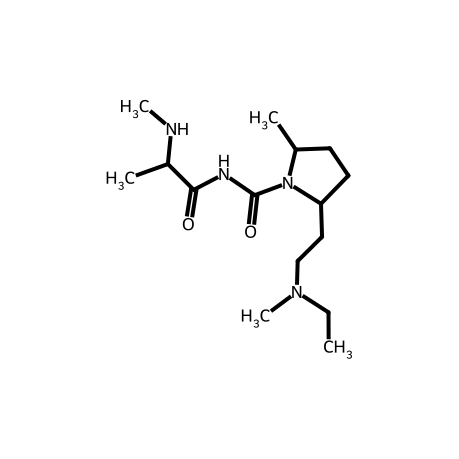 CCN(C)CCC1CCC(C)N1C(=O)NC(=O)C(C)NC